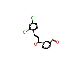 O=Cc1cccc(C(=O)C=Cc2ccc(Cl)cc2Cl)c1